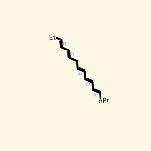 [CH2]C/C=C/C=C/C/C=C/C=C/C=C/CCC